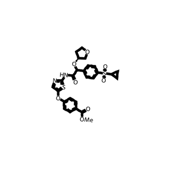 COC(=O)c1ccc(Oc2cnc(NC(=O)C(O[C@H]3CCOC3)c3ccc(S(=O)(=O)C4CC4)cc3)s2)cc1